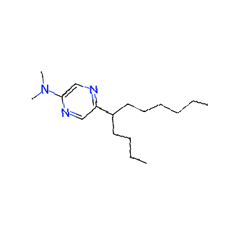 CCCCCCC(CCCC)c1cnc(N(C)C)cn1